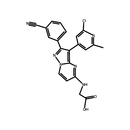 Cc1cc(-c2c(-c3cccc(C#N)c3)nn3ccc(NCC(=O)O)nc23)cc(Cl)n1